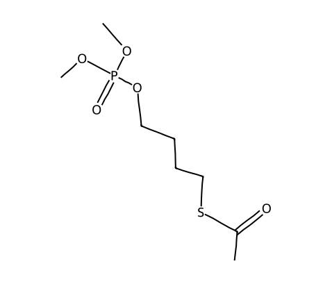 COP(=O)(OC)OCCCCSC(C)=O